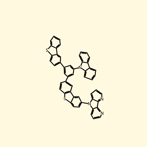 c1ccc2c(c1)sc1ccc(-c3cc(-c4ccc5sc6ccc(-n7c8cccnc8c8ncccc87)cc6c5c4)cc(-n4c5ccccc5c5ccccc54)c3)cc12